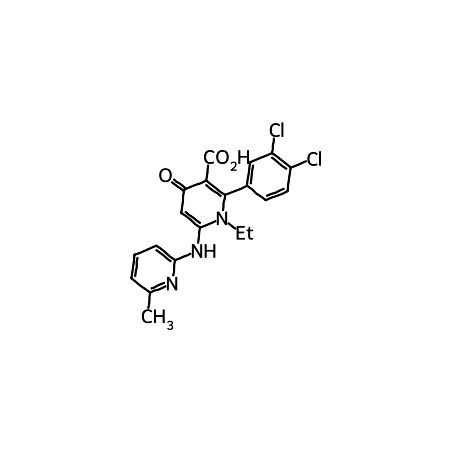 CCn1c(Nc2cccc(C)n2)cc(=O)c(C(=O)O)c1-c1ccc(Cl)c(Cl)c1